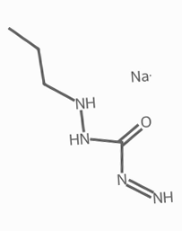 CCCNNC(=O)N=N.[Na]